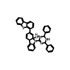 CC12C=C(c3cccc4c3sc3ccccc34)C=CC1c1ccccc1N2C1=NC(c2ccccc2)NC(c2ccccc2)N1